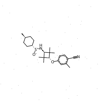 Cc1cc(O[C@H]2C(C)(C)[C@H](N[S+]([O-])[C@H]3CC[C@H](C)CC3)C2(C)C)ccc1C#N